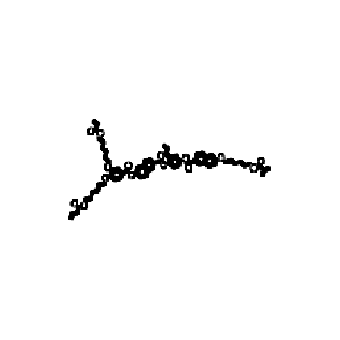 C=CC(=O)OCCCCCCOc1cc(C(=O)Oc2ccc3cc(C(=O)Oc4ccc(OC(=O)c5ccc6cc(OCCCCCCOC(=O)C(=C)C)ccc6c5)cc4CCC)ccc3c2)ccc1OCCCCCCOC(=O)CCC